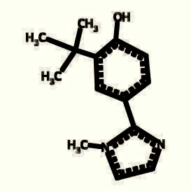 Cn1ccnc1-c1ccc(O)c(C(C)(C)C)c1